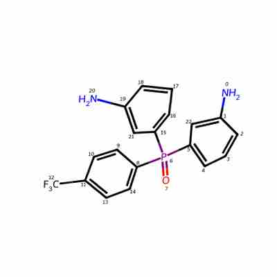 Nc1cccc(P(=O)(c2ccc(C(F)(F)F)cc2)c2cccc(N)c2)c1